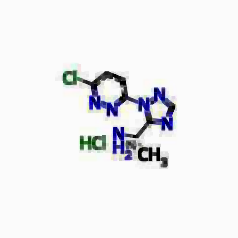 C[C@H](N)c1ncnn1-c1ccc(Cl)nn1.Cl